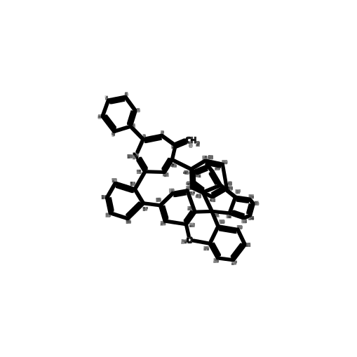 C=C1C=C(c2ccccc2)N=C(c2ccccc2-c2ccc3c(c2)Oc2ccccc2C32c3ccccc3-c3ccccc32)C=C1c1ccccc1